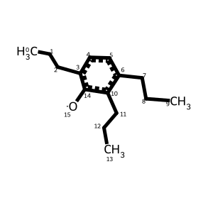 CCCc1ccc(CCC)c(CCC)c1[O]